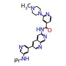 CC(C)Nc1cncc(-c2cnc3cnc(NC(=O)c4ccnc(N5CCN(C)CC5)c4)cc3c2)c1